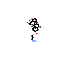 C[C@H]1C[C@@H]2[C@H](CC[C@]3(C)C(=O)CC[C@@H]23)[C@@]2(C)CC[C@H]([S+]([O-])CCCN)CC12